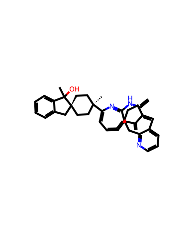 C=CNC1=NC([C@]2(C)CC[C@@]3(CC2)Cc2ccccc2C3(C)O)=CC=C=C1C(=C)/C1=C\c2cccnc2CCCC1